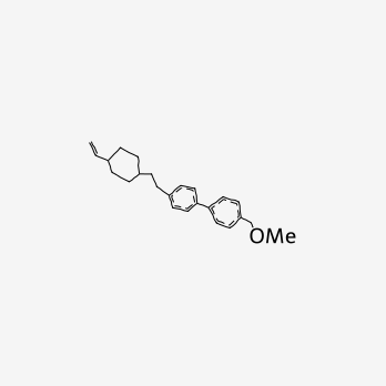 C=CC1CCC(CCc2ccc(-c3ccc(COC)cc3)cc2)CC1